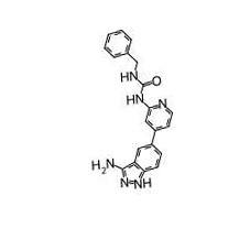 Nc1n[nH]c2ccc(-c3ccnc(NC(=O)NCc4ccccc4)c3)cc12